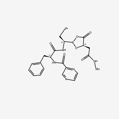 CC(C)C[C@H](NC(=O)[C@H](Cc1ccccc1)NC(=O)c1cnccn1)B1OC(=O)[C@@H](CC(=O)NC(C)(C)C)O1